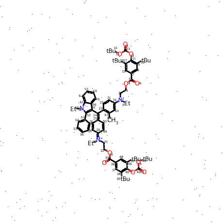 CCN(CCOC(=O)c1cc(C(C)(C)C)c(OC(=O)OC(C)(C)C)c(C(C)(C)C)c1)c1ccc(C(=C2C=CC(=[N+](CC)CCOC(=O)c3cc(C(C)(C)C)c(OC(=O)OC(C)(C)C)c(C(C)(C)C)c3)C=C2)c2c(-c3ccccc3)n(CC)c3ccccc23)c(C)c1